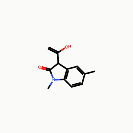 C=C(O)C1C(=O)N(C)c2ccc(C)cc21